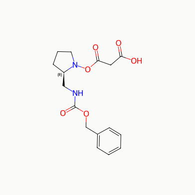 O=C(O)CC(=O)ON1CCC[C@@H]1CNC(=O)OCc1ccccc1